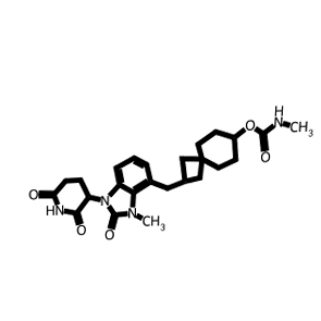 CNC(=O)OC1CCC2(CC1)CC(Cc1cccc3c1n(C)c(=O)n3C1CCC(=O)NC1=O)C2